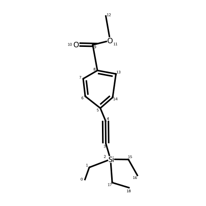 CC[Si](C#Cc1ccc(C(=O)OC)cc1)(CC)CC